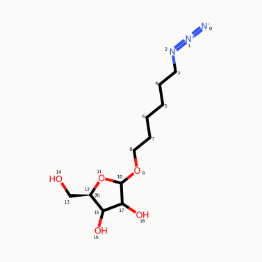 [N-]=[N+]=NCCCCCCOC1O[C@H](CO)C(O)C1O